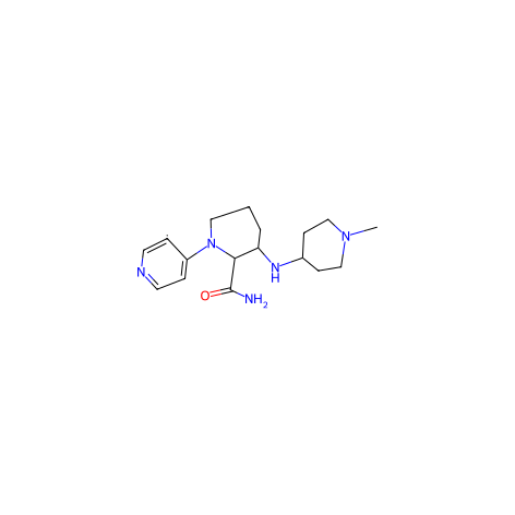 CN1CCC(NC2CCCN(c3[c]cncc3)C2C(N)=O)CC1